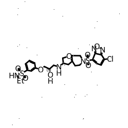 CCNS(=O)(=O)c1cccc(OC[C@@H](O)CNC2COC3(CCN(S(=O)(=O)c4ccc(Cl)c5nonc45)CC3)C2)c1